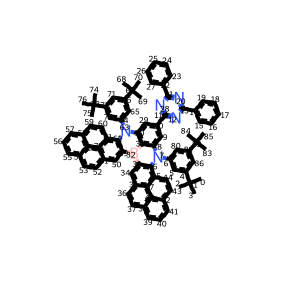 CC(C)(C)c1cc(N2c3cc(-c4nc(-c5ccccc5)nc(-c5ccccc5)n4)cc4c3B(c3cc5ccc6cccc7ccc(c32)c5c67)c2cc3ccc5cccc6ccc(c2N4c2cc(C(C)(C)C)cc(C(C)(C)C)c2)c3c56)cc(C(C)(C)C)c1